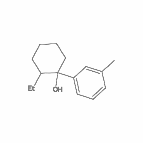 CCC1CCCCC1(O)c1cccc(C)c1